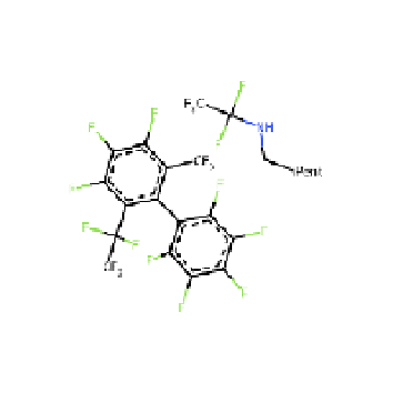 CCCC(C)CNC(F)(F)C(F)(F)F.Fc1c(F)c(F)c(-c2c(C(F)(F)F)c(F)c(F)c(F)c2C(F)(F)C(F)(F)F)c(F)c1F